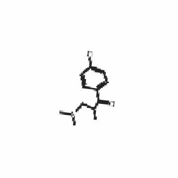 CC(CN(C)C)C(=O)c1ccc(Cl)cc1